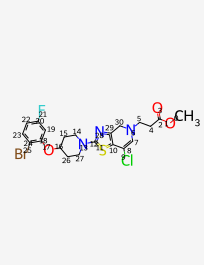 COC(=O)CCN1C=C(Cl)c2sc(N3CCC(Oc4cc(F)ccc4Br)CC3)nc2C1